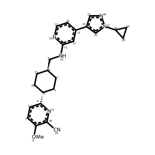 COc1ccc([C@H]2CC[C@H](CNc3cc(-c4cnn(C5CC5)c4)ccn3)CC2)nc1C#N